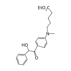 CCOC(=O)CCCCN(C)c1ccc(C(=O)C(O)c2ccccc2)cc1